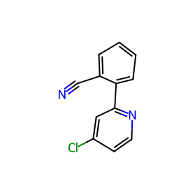 N#Cc1ccccc1-c1cc(Cl)ccn1